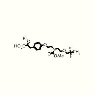 CCOC(Cc1ccc(OCCN(CCOCC(C)(F)F)C(=O)OC)cc1)C(=O)O